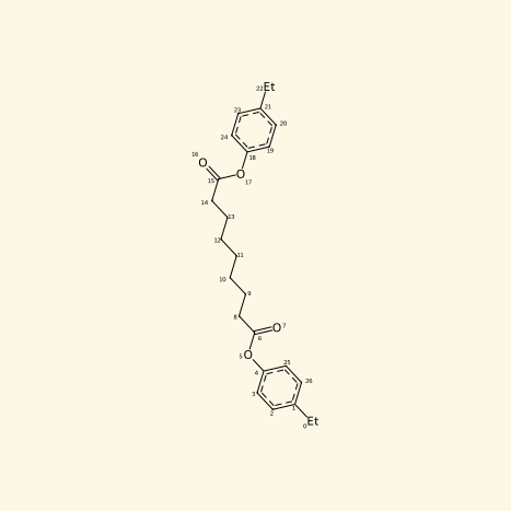 CCc1ccc(OC(=O)CCCCCCCC(=O)Oc2ccc(CC)cc2)cc1